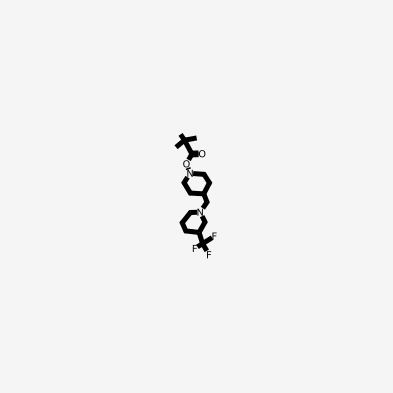 CC(C)(C)C(=O)ON1CCC(CN2CCCC(C(F)(F)F)C2)CC1